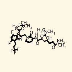 CN(C)C(=O)/C=C/CC[C@H](OC(O)N(C)C)C(=O)Nc1cccn(Cc2nc3c(CCC(F)(F)F)c(F)cc(F)c3n2C(=O)OC(C)(C)C)c1=O